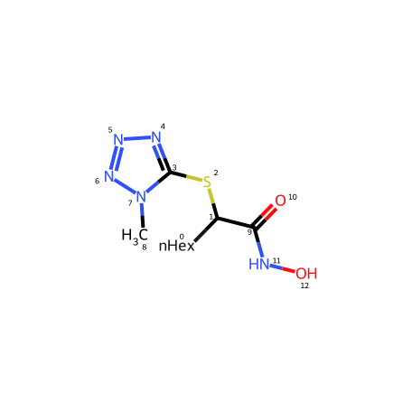 CCCCCCC(Sc1nnnn1C)C(=O)NO